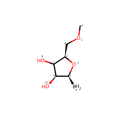 B[C@@H]1O[C@H](COC)C(O)[C@@H]1O